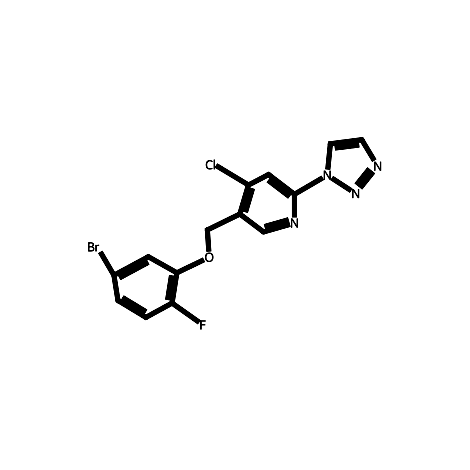 Fc1ccc(Br)cc1OCc1cnc(-n2ccnn2)cc1Cl